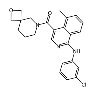 Cc1cccc2c(Nc3cccc(Cl)c3)ncc(C(=O)N3CCCC4(COC4)C3)c12